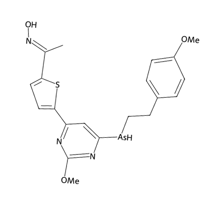 COc1ccc(CC[AsH]c2cc(-c3ccc(C(C)=NO)s3)nc(OC)n2)cc1